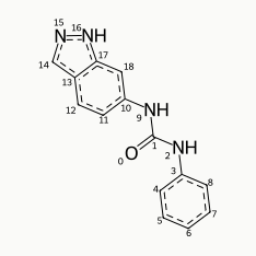 O=C(Nc1ccccc1)Nc1ccc2cn[nH]c2c1